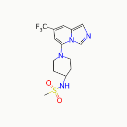 CS(=O)(=O)NC1CCN(c2cc(C(F)(F)F)cc3cncn23)CC1